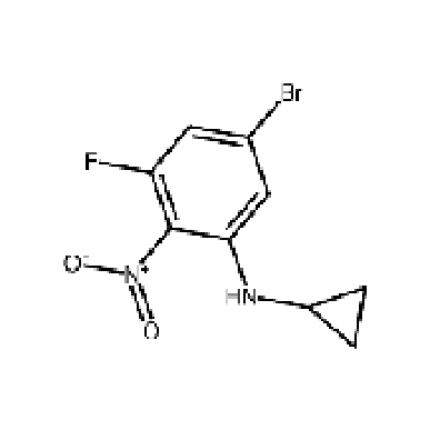 O=[N+]([O-])c1c(F)cc(Br)cc1NC1CC1